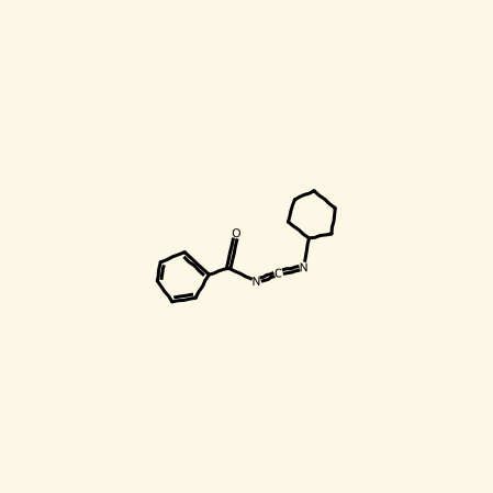 O=C(N=C=NC1CCCCC1)c1ccccc1